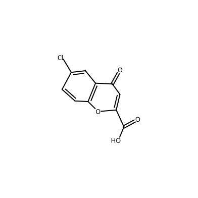 O=C(O)c1cc(=O)c2cc(Cl)ccc2o1